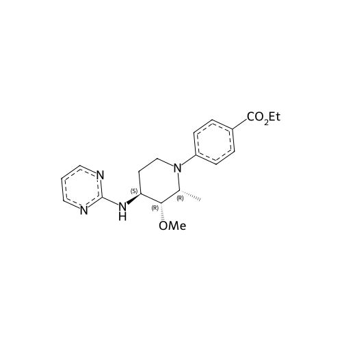 CCOC(=O)c1ccc(N2CC[C@H](Nc3ncccn3)[C@@H](OC)[C@H]2C)cc1